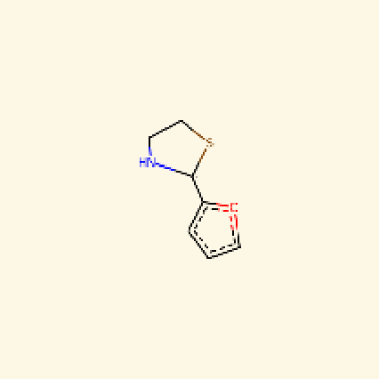 c1coc([C]2NCCS2)c1